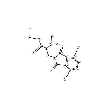 CCOC(=O)C(CN1C(=O)c2c(Cl)ccc(Cl)c2C1=O)C(C)=O